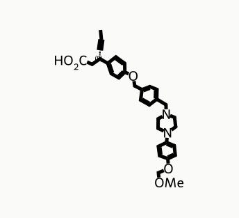 CC#C[C@@H](CC(=O)O)c1ccc(OCc2ccc(CN3CCN(c4ccc(OCOC)cc4)CC3)cc2)cc1